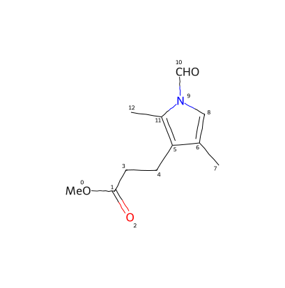 COC(=O)CCc1c(C)cn(C=O)c1C